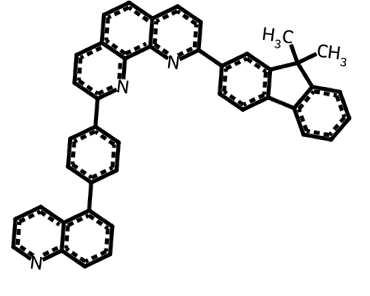 CC1(C)c2ccccc2-c2ccc(-c3ccc4ccc5ccc(-c6ccc(-c7cccc8ncccc78)cc6)nc5c4n3)cc21